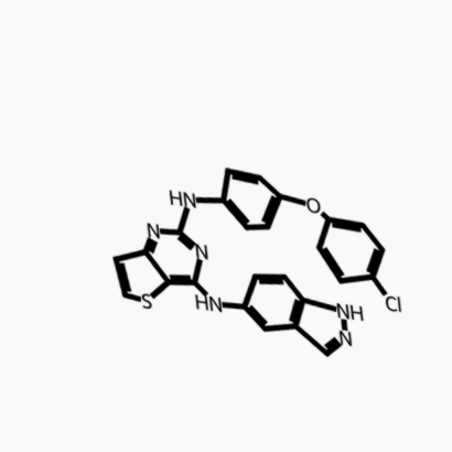 Clc1ccc(Oc2ccc(Nc3nc(Nc4ccc5[nH]ncc5c4)c4sccc4n3)cc2)cc1